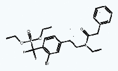 CCOP(=O)(OCC)C(F)(F)c1ccc(CCN(CC)C(=O)Cc2ccccc2)cc1Br